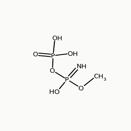 COP(=N)(O)OP(=O)(O)O